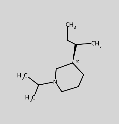 CCC(C)[C@H]1CCCN(C(C)C)C1